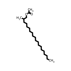 CCCCCCCCCCCCCCCCCCC(C)COC(C)=O